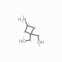 NC1CC(CO)(CO)C1